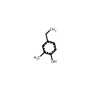 [CH2]Cc1ccc(O)c(C)c1